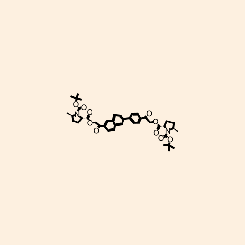 C[C@@H]1CC[C@@H](C(=O)OCC(=O)c2ccc(-c3ccc4cc(C(=O)COC(=O)[C@@H]5CC[C@@H](C)N5C(=O)OC(C)(C)C)ccc4c3)cc2)N1C(=O)OC(C)(C)C